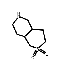 O=S1(=O)CCC2CNCCC2C1